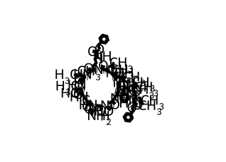 CC[C@H](C)[C@@H]1NC(=O)[C@@H](CCCNC(=O)OCc2ccccc2)NC(=O)[C@H](CC(C)C)NC(=O)[C@H]([C@H](O)C(C)C)NC(=O)[C@@H](NC(=O)[C@@H](CC(C)(C)C)NC(=O)[C@@H](CC(C)(C)C)NC(=O)OCc2ccccc2)[C@@H](c2ccccc2)NC(=O)[C@H](CO)NC(=O)[C@H](CC(N)=O)NC(=O)CNC(=O)[C@H]([C@H](C)O)NC1=O